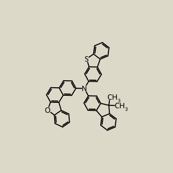 CC1(C)c2ccccc2-c2ccc(N(c3ccc4c(c3)sc3ccccc34)c3ccc4ccc5oc6ccccc6c5c4c3)cc21